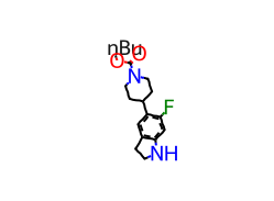 CCCCOC(=O)N1CCC(c2cc3c(cc2F)NCC3)CC1